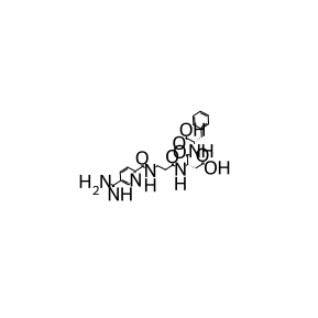 N=C(N)c1ccc(C(=O)NCCC(=O)N[C@@H](CC(=O)O)C(=O)N[C@@H](Cc2ccccc2)C(=O)O)nc1